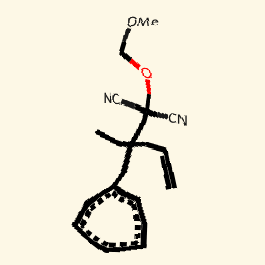 C=CC(C)(c1ccccc1)C(C#N)(C#N)OCOC